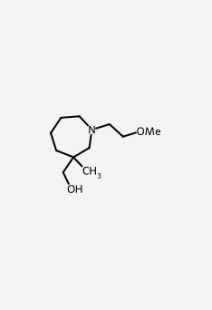 COCCN1CCCCC(C)(CO)C1